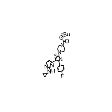 CC(C)(C)OC(=O)N1CCN(c2nc(-c3ccc(F)cc3)c(-c3ccnc(NC4CC4)n3)s2)CC1